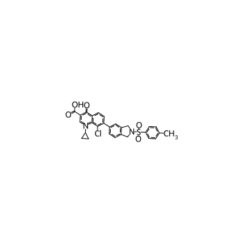 Cc1ccc(S(=O)(=O)N2Cc3ccc(-c4ccc5c(=O)c(C(=O)O)cn(C6CC6)c5c4Cl)cc3C2)cc1